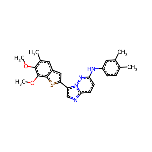 COc1c(C)cc2cc(-c3cnc4ccc(Nc5ccc(C)c(C)c5)nn34)sc2c1OC